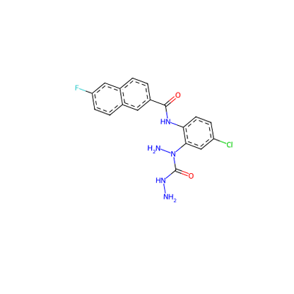 NNC(=O)N(N)c1cc(Cl)ccc1NC(=O)c1ccc2cc(F)ccc2c1